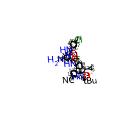 CC(C)(C)[S@@+]([O-])NC(CCC1CC1)(c1cccc(C#N)c1)c1ccc(F)c(NC(=O)[C@H]2C[C@@H](N)CN2C(=O)Nc2ccc(Cl)cc2)c1